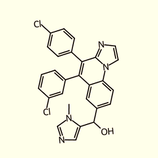 Cn1cncc1C(O)c1ccc2c(c1)c(-c1cccc(Cl)c1)c(-c1ccc(Cl)cc1)c1nccn12